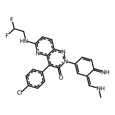 CN/C=C1/C=C(n2nc3ccc(NCC(F)F)nc3c(-c3ccc(Cl)cc3)c2=O)C=CC1=N